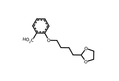 O=C(O)c1ccccc1OCCCCC1OCCO1